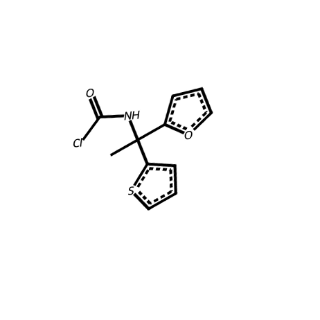 CC(NC(=O)Cl)(c1ccco1)c1cccs1